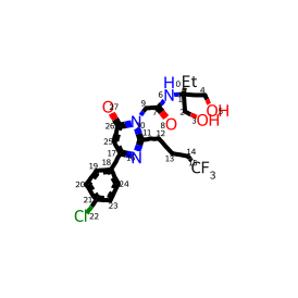 CCC(CO)(CO)NC(=O)Cn1c(CCCC(F)(F)F)nc(-c2ccc(Cl)cc2)cc1=O